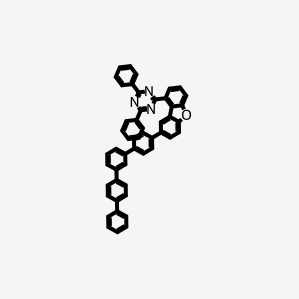 c1ccc(-c2ccc(-c3cccc(-c4ccc(-c5ccc6oc7cccc(-c8nc(-c9ccccc9)nc(-c9ccccc9)n8)c7c6c5)cc4)c3)cc2)cc1